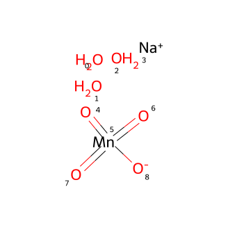 O.O.O.[Na+].[O]=[Mn](=[O])(=[O])[O-]